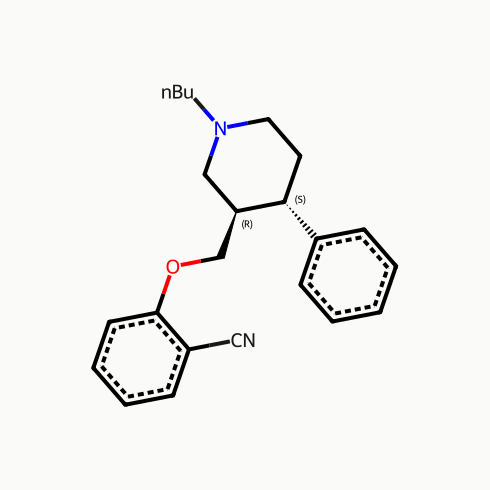 CCCCN1CC[C@H](c2ccccc2)[C@@H](COc2ccccc2C#N)C1